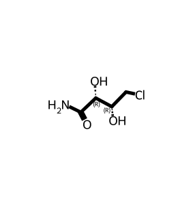 NC(=O)[C@H](O)[C@@H](O)CCl